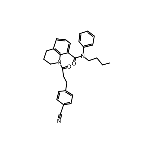 CCCCN(C(=O)c1cccc2c1N(C(=O)CCc1ccc(C#N)cc1)CCC2)c1ccccc1